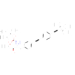 CC(=O)C(Cc1ccc(C#Cc2ccc(C#C[Si](C)(C)C)cc2)cc1)NC(=O)OC(C)(C)C